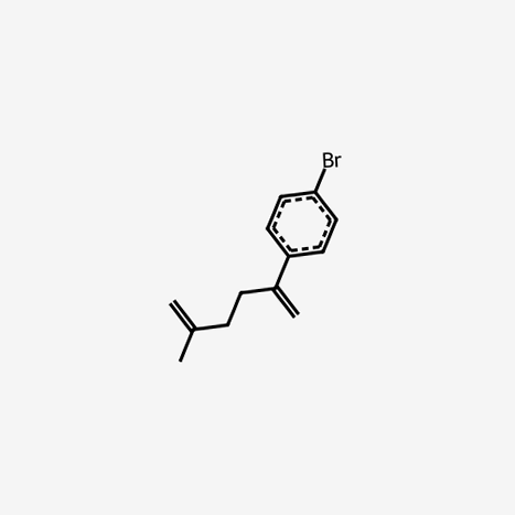 C=C(C)CCC(=C)c1ccc(Br)cc1